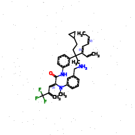 C=C/C(=C\C=C/C)C(C)(CCC1CC1)c1cccc(NC(=O)/C(=C/C(=C)C(F)(F)F)N(C)c2cccc(CN)c2)c1